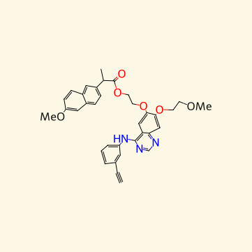 C#Cc1cccc(Nc2ncnc3cc(OCCOC)c(OCCOC(=O)C(C)c4ccc5cc(OC)ccc5c4)cc23)c1